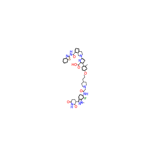 Cc1cc(OCCCC2CCN(CC(=O)Nc3ccc4c(C5CCC(=O)NC5=O)nn(C)c4c3F)CC2)ccc1-c1ccc(N2CCc3cccc(C(=O)Nc4nc5ccccc5s4)c3C2)nc1C(=O)O